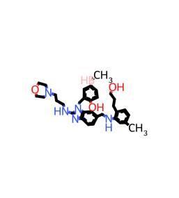 CBc1ccc(O)c(Cn2c(NCCCN3CCOCC3)nc3ccc(CNc4cc(C)ccc4CCCO)cc32)c1